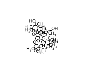 CC1C(C)(C)CC(OC(=O)CC(C(=O)OC2CC(C)(C)C=C(CO)C(C)(C)C2)C(CC(=O)OC2CC(C)(C)C(CO)C(C)(C)C2)C(=O)OC(CC(C)(C)C)CC(C)(C)/C=C/O)CC1(C)C